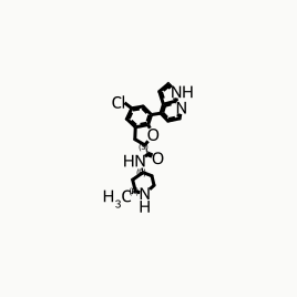 C[C@@H]1C[C@H](NC(=O)[C@@H]2Cc3cc(Cl)cc(-c4ccnc5[nH]ccc45)c3O2)CCN1